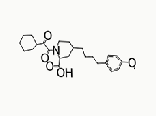 COc1ccc(CCCCC2CCN(C(=O)C(=O)C3CCCCC3)C(C(=O)O)C2)cc1